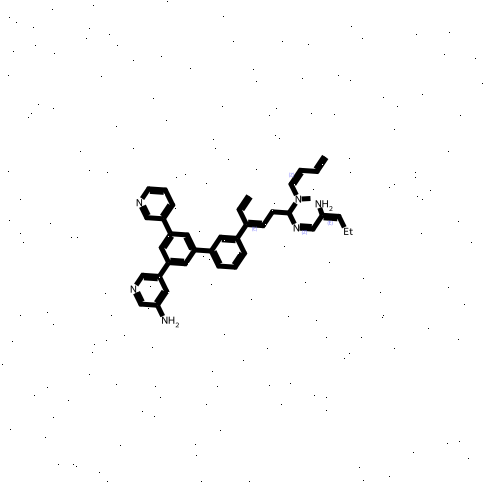 C=C/C=C\N(C)C(C/C=C(\C=C)c1cccc(-c2cc(-c3cccnc3)cc(-c3cncc(N)c3)c2)c1)/N=C\C(N)=C/CC